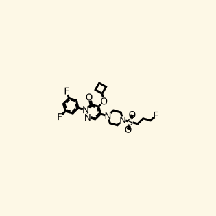 O=c1c(OC2CCC2)c(N2CCN(S(=O)(=O)CCCF)CC2)cnn1-c1cc(F)cc(F)c1